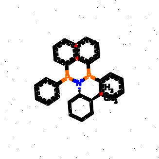 CC(C)[C@H]1CCCC[C@@H]1N(P(c1ccccc1)c1ccccc1)P(c1ccccc1)c1ccccc1